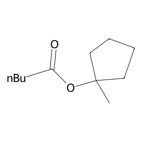 CCCCC(=O)OC1(C)CCCC1